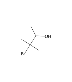 CC(O)C(C)(C)Br